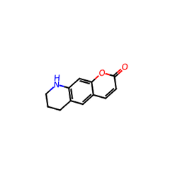 O=c1ccc2cc3c(cc2o1)NCCC3